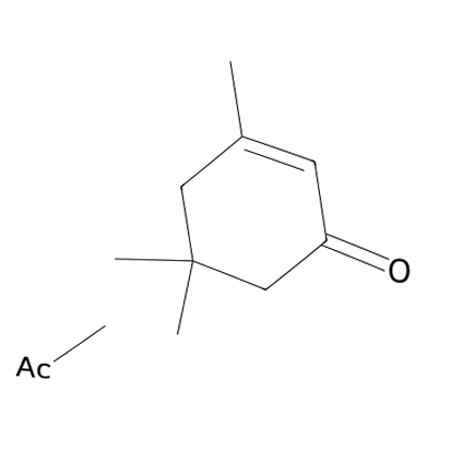 CC(C)=O.CC1=CC(=O)CC(C)(C)C1